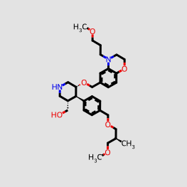 COCCCN1CCOc2ccc(CO[C@H]3CNC[C@@H](CO)[C@@H]3c3ccc(COC[C@@H](C)COC)cc3)cc21